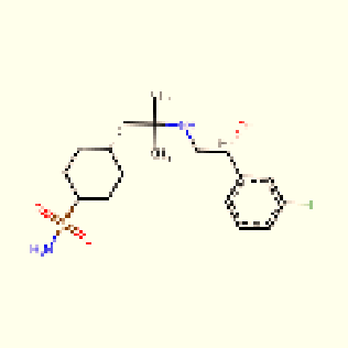 CC(C)(C[C@H]1CC[C@H](S(N)(=O)=O)CC1)NC[C@H](O)c1cccc(F)c1